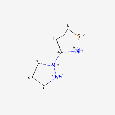 C1CNN(C2CCSN2)C1